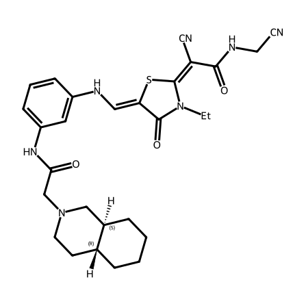 CCn1c(=C(C#N)C(=O)NCC#N)sc(=CNc2cccc(NC(=O)CN3CC[C@H]4CCCC[C@@H]4C3)c2)c1=O